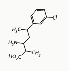 CC(CC(N)C(C)C(=O)O)c1cccc(Cl)c1